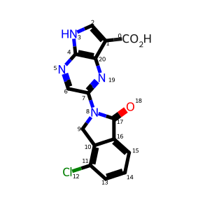 O=C(O)c1c[nH]c2ncc(N3Cc4c(Cl)cccc4C3=O)nc12